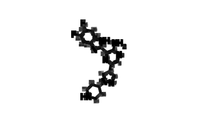 Nc1ncc(-c2cnn(C3CCNCC3)c2)nc1-c1nc2cc(F)c(F)cc2[nH]1